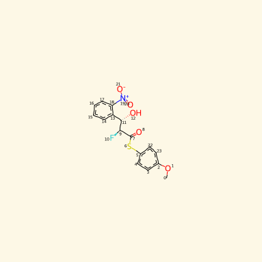 COc1ccc(SC(=O)[C@@H](F)[C@@H](O)c2ccccc2[N+](=O)[O-])cc1